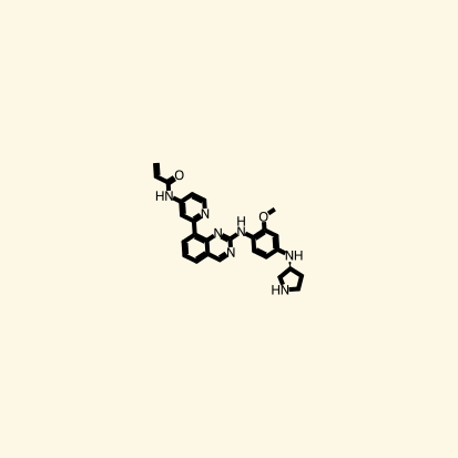 C=CC(=O)Nc1ccnc(-c2cccc3cnc(Nc4ccc(N[C@@H]5CCNC5)cc4OC)nc23)c1